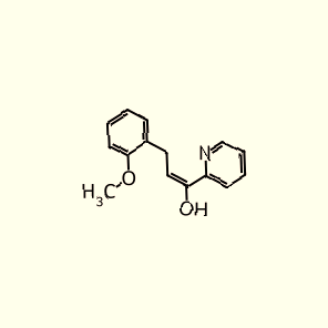 COc1ccccc1C/C=C(/O)c1ccccn1